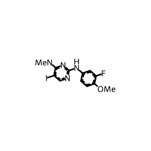 CNc1nc(Nc2ccc(OC)c(F)c2)ncc1I